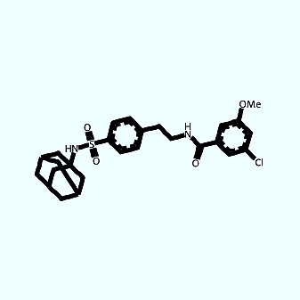 COc1cc(Cl)cc(C(=O)NCCc2ccc(S(=O)(=O)NC34CC5CC(CC(C5)C3)C4)cc2)c1